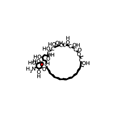 C[C@H]1C[C@H](O)[C@@H](C)/C=C/C=C/C=C/C=C/C=C/C=C/C=C/C(OC2OC[C@@H](O)[C@H](N)[C@H]2O)C[C@@H]2OC(O)(CC(O)CC(O)C(O)CCC(O)CC(O)CC(=O)O1)C[C@H](O)[C@H]2C(=O)O